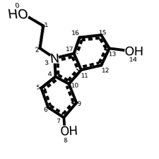 OCCn1c2ccc(O)cc2c2cc(O)ccc21